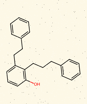 Oc1cccc(CCc2ccccc2)c1CCCc1ccccc1